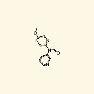 COc1cnc(N(C=O)c2cccnc2)cn1